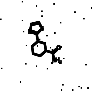 NC(=O)C1CCCC(c2nccs2)C1